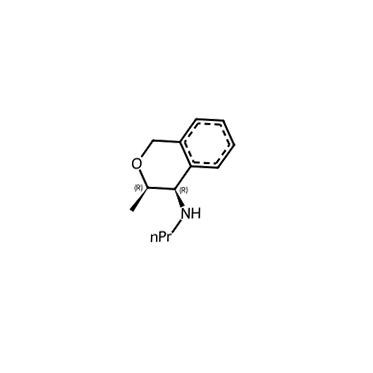 CCCN[C@@H]1c2ccccc2CO[C@@H]1C